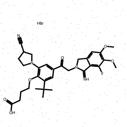 Br.COc1cc2c(c(F)c1OC)C(=N)N(CC(=O)c1cc(N3CCC(C#N)C3)c(OCCCC(=O)O)c(C(C)(C)C)c1)C2